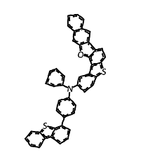 c1ccc(N(c2ccc(-c3cccc4c3sc3ccccc34)cc2)c2ccc3sc4ccc5c6cc7ccccc7cc6oc5c4c3c2)cc1